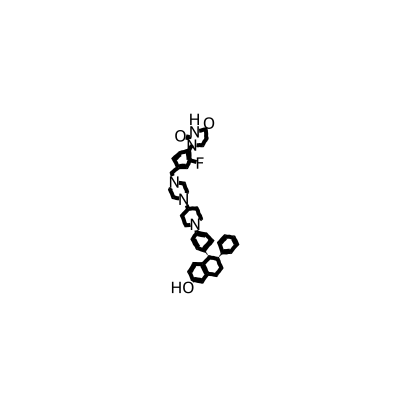 O=C1CCN(c2ccc(CN3CCN(C4CCN(c5ccc([C@H]6c7ccc(O)cc7CC[C@H]6c6ccccc6)cc5)CC4)CC3)cc2F)C(=O)N1